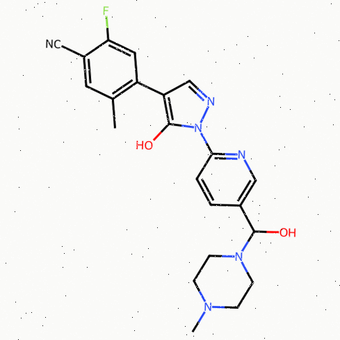 Cc1cc(C#N)c(F)cc1-c1cnn(-c2ccc(C(O)N3CCN(C)CC3)cn2)c1O